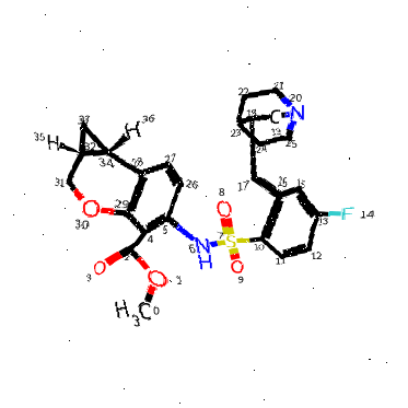 COC(=O)c1c(NS(=O)(=O)c2ccc(F)cc2CC2CN3CCC2CC3)ccc2c1OC[C@@H]1C[C@H]21